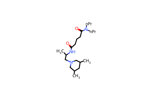 CCCN(CCC)C(=O)CCCC(=O)NC(C)CN1CC(C)CC(C)C1